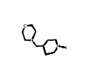 IN1CCC(CN2CCOCC2)CC1